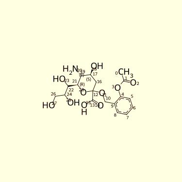 CC(=O)Oc1ccccc1COC1(C(=O)O)C[C@H](O)[C@@H](N)[C@H](C(O)C(O)CO)O1